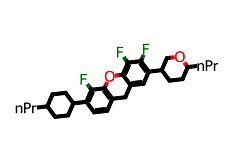 CCCC1CCC(c2ccc3c(c2F)Oc2c(cc(C4CCC(CCC)OC4)c(F)c2F)C3)CC1